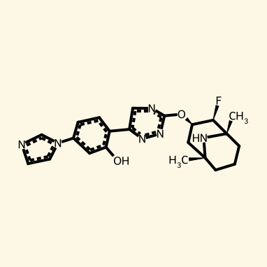 C[C@]12CCC[C@](C)(N1)[C@H](F)[C@H](Oc1ncc(-c3ccc(-n4ccnc4)cc3O)nn1)C2